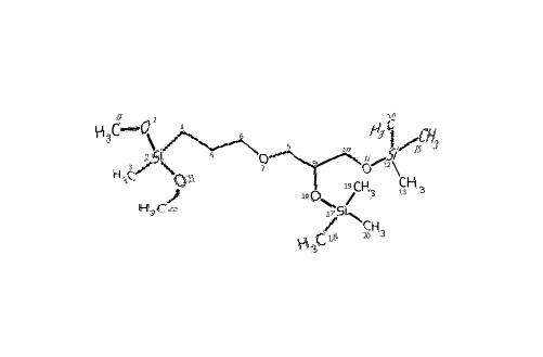 CO[Si](C)(CCCOCC(CO[Si](C)(C)C)O[Si](C)(C)C)OC